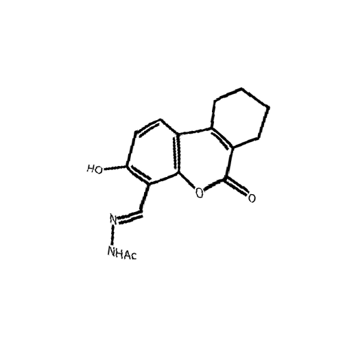 CC(=O)N/N=C/c1c(O)ccc2c3c(c(=O)oc12)CCCC3